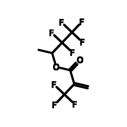 C=C(C(=O)OC(C)C(F)(F)C(F)(F)F)C(F)(F)F